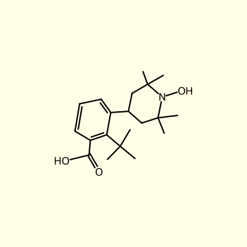 CC(C)(C)c1c(C(=O)O)cccc1C1CC(C)(C)N(O)C(C)(C)C1